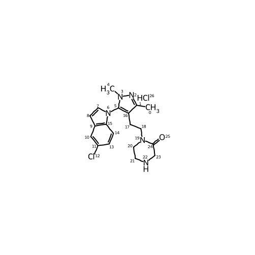 Cc1nn(C)c(-n2ccc3cc(Cl)ccc32)c1CCN1CCNCC1=O.Cl